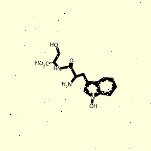 NC(Cc1cn(O)c2ccccc12)C(=O)N[C@@H](CO)C(=O)O